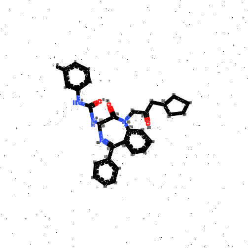 Cc1cccc(NC(=O)N[C@@H]2N=C(c3ccccc3)c3ccccc3N(CC(=O)CC3CCCC3)C2=O)c1